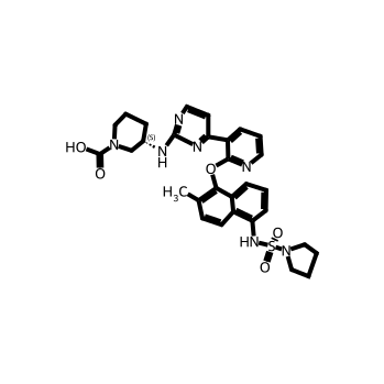 Cc1ccc2c(NS(=O)(=O)N3CCCC3)cccc2c1Oc1ncccc1-c1ccnc(N[C@H]2CCCN(C(=O)O)C2)n1